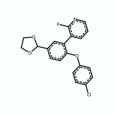 Fc1ncccc1-c1cc(C2OCCO2)ccc1Oc1ccc(Cl)cc1